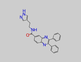 O=C(NCCc1cn[nH]c1)c1ccc2nc(-c3ccccc3)c(-c3ccccc3)nc2c1